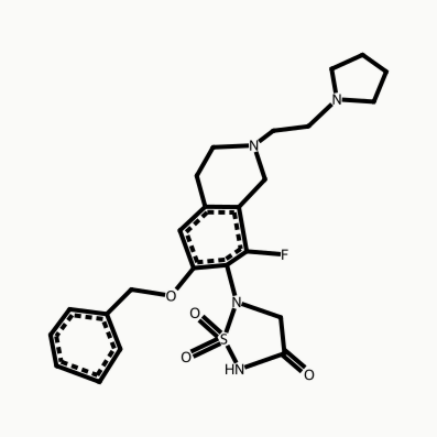 O=C1CN(c2c(OCc3ccccc3)cc3c(c2F)CN(CCN2CCCC2)CC3)S(=O)(=O)N1